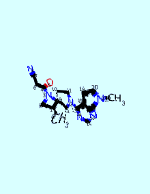 C[C@H]1CN(C(=O)CC#N)[C@]12CCN(c1ncnc3c1ccn3C)C2